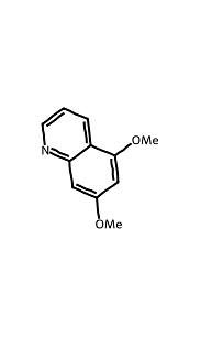 COc1cc(OC)c2cccnc2c1